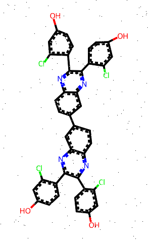 Oc1ccc(-c2nc3ccc(-c4ccc5nc(-c6ccc(O)cc6Cl)c(-c6ccc(O)cc6Cl)nc5c4)cc3nc2-c2ccc(O)cc2Cl)c(Cl)c1